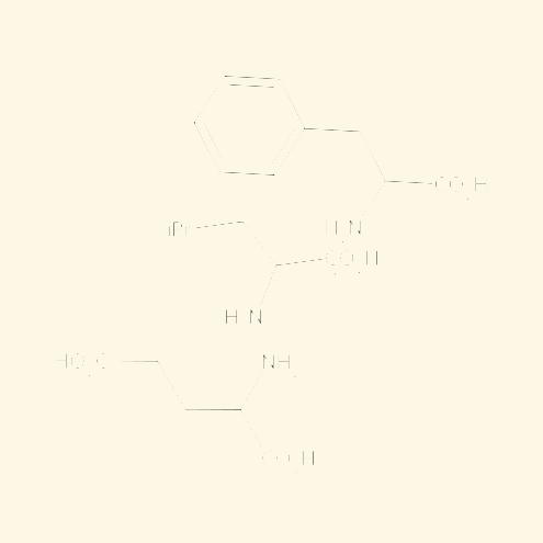 CC(C)CC(N)C(=O)O.NC(CCC(=O)O)C(=O)O.NC(Cc1ccccc1)C(=O)O